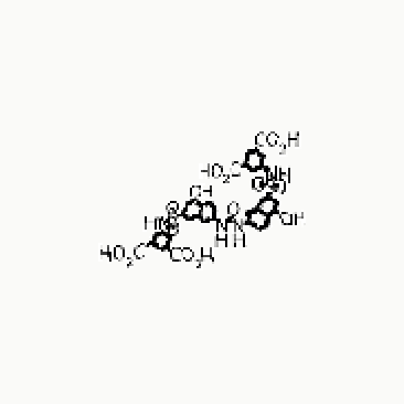 O=C(Nc1ccc2c(O)cc(S(=O)(=O)Nc3cc(C(=O)O)cc(C(=O)O)c3)cc2c1)Nc1ccc2c(O)cc(S(=O)(=O)Nc3cc(C(=O)O)cc(C(=O)O)c3)cc2c1